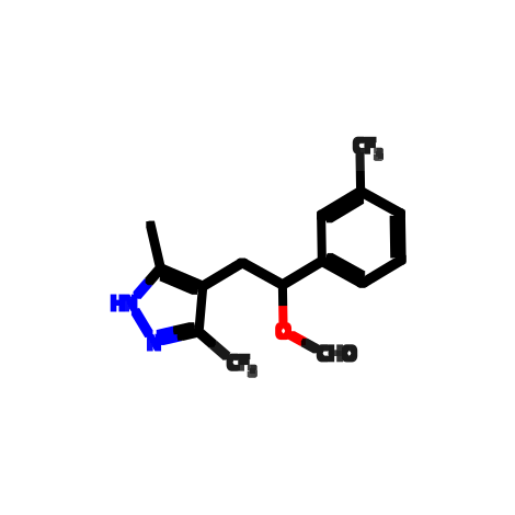 Cc1[nH]nc(C(F)(F)F)c1CC(OC=O)c1cccc(C(F)(F)F)c1